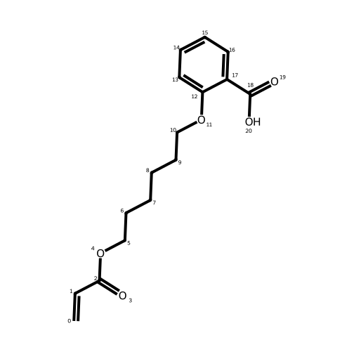 C=CC(=O)OCCCCCCOc1ccccc1C(=O)O